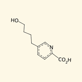 O=C(O)c1ccc(CCCCO)cn1